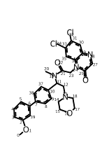 COc1cccc(-c2ccc(C(CN3CCOCC3)N(C)C(=O)Cn3c(=O)cnc4cc(Cl)c(Cl)cc43)cc2)c1